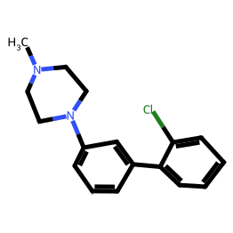 CN1CCN(c2c[c]cc(-c3ccccc3Cl)c2)CC1